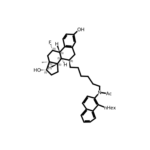 CCCCCCc1c(N(CCCCCC[C@@H]2Cc3cc(O)ccc3[C@@H]3[C@@H]2[C@@H]2CC[C@H](O)[C@@]2(C)C[C@@H]3F)C(C)=O)ccc2ccccc12